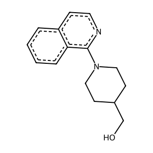 OCC1CCN(c2nccc3ccccc23)CC1